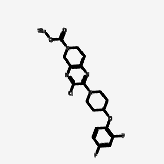 CC(C)(C)OC(=O)N1CCc2nc(N3CCC(Oc4ccc(F)cc4F)CC3)c(Cl)nc2C1